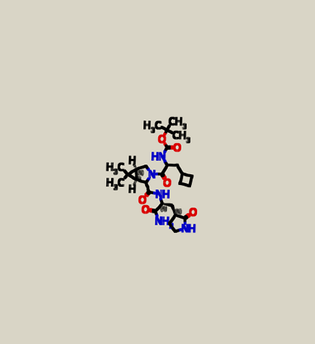 CC(C)(C)OC(=O)NC(CC1CCC1)C(=O)N1C[C@H]2[C@@H](C1C(=O)N[C@@H](C[C@@H]1CCNC1=O)C(N)=O)C2(C)C